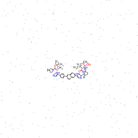 COC(O)N[C@H](C(=O)N1[C@@H]2CC[C@@H](C2)[C@H]1c1ncc(-c2ccc3cc(-c4ccc(-c5cnc([C@@H]6CC7(CC7)CN6C(=O)OC(C)(C)C)[nH]5)cc4)ccc3c2)[nH]1)C(C)C